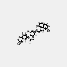 O=C1CSc2ccc(N3C[C@@H](CN(CCCO)CCC4Cn5c(=O)ccc6ccc(F)c4c65)OC3=O)cc2N1